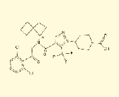 O=C(CN(C(=O)c1cnn(C2CCC(C(=O)O)CC2)c1C(F)(F)F)[C@H]1CCC12CCC2)c1c(Cl)cccc1Cl